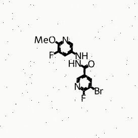 COc1ncc(NNC(=O)c2cnc(F)c(Br)c2)cc1F